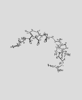 CCCC[C@@H](O)C[C@H]1CC(O)[C@@H]2[C@H](CC[C@]3(C)[C@@H]([C@H](C)CCC(=O)NC4C(=O)N5C(C(=O)NCN=[N+]=[N-])=C(C)CSC45)CC[C@@H]23)C1